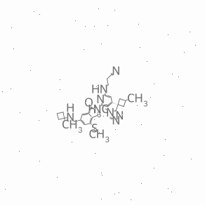 CSc1cc(CNC2(C)CCC2)cc2c1CN(c1cc([C@]3(c4nncn4C)C[C@@H](C)C3)cc(NCCC#N)n1)C2=O